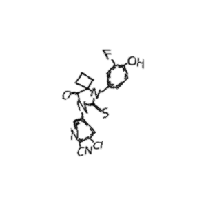 N#Cc1ncc(N2C(=O)C3(CCC3)N(c3ccc(O)c(F)c3)C2=S)cc1Cl